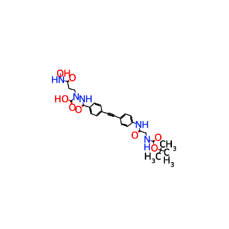 CC(C)(C)OC(=O)NCC(=O)Nc1ccc(C#Cc2ccc(C(=O)NN(CCC(=O)NO)C(=O)O)cc2)cc1